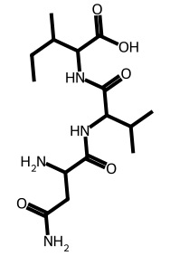 CCC(C)C(NC(=O)C(NC(=O)C(N)CC(N)=O)C(C)C)C(=O)O